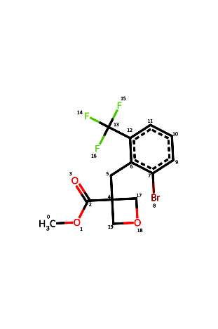 COC(=O)C1(Cc2c(Br)cccc2C(F)(F)F)COC1